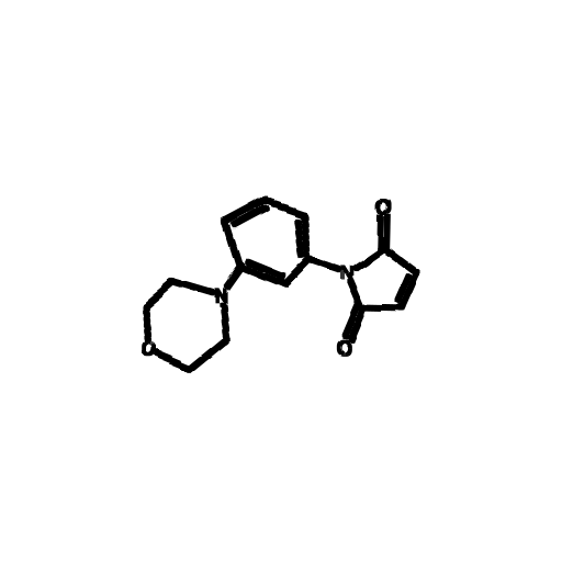 O=C1C=CC(=O)N1c1cccc(N2CCOCC2)c1